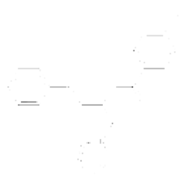 O=C(OC(COc1ccccc1)Cn1ccnc1)c1ccc(Br)cc1